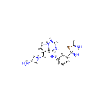 CC(=N)SC(=N)c1cccc(Nc2ncnn3ccc(CN4CC(N)C4)c23)c1